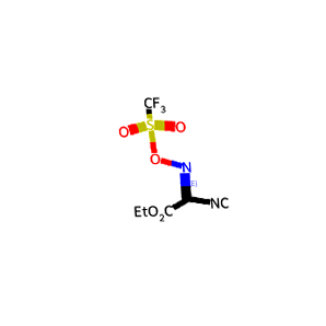 [C-]#[N+]/C(=N/OS(=O)(=O)C(F)(F)F)C(=O)OCC